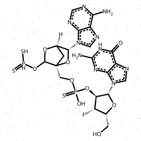 Nc1nc2c(ncn2[C@@H]2O[C@H](CO)[C@H](F)[C@H]2OP(O)(=S)OC[C@@]23C[C@@H](OC2O[PH](=S)S)[C@H](n2cnc4c(N)ncnc42)O3)c(=O)[nH]1